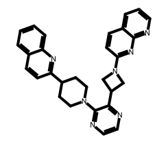 c1ccc2nc(C3CCN(c4nccnc4C4CN(c5ccc6cccnc6n5)C4)CC3)ccc2c1